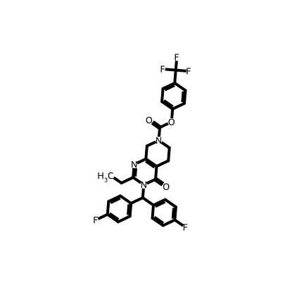 CCc1nc2c(c(=O)n1C(c1ccc(F)cc1)c1ccc(F)cc1)CCN(C(=O)Oc1ccc(C(F)(F)F)cc1)C2